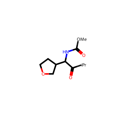 COC(=O)NC(C(=O)C(C)C)C1CCOC1